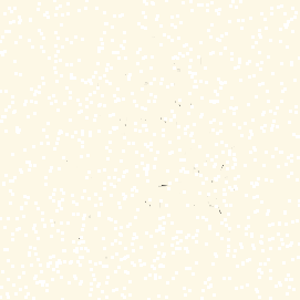 COC(=O)C(CCC(F)(F)F)NC(=O)[C@@H]1C[C@H]2C[C@H]2N1C(=O)Cn1nc(C(C)=O)c2cccnc21